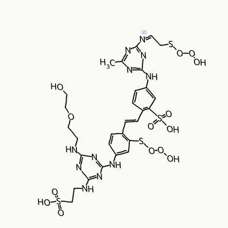 Cc1nc(/N=C\CSOOO)nc(Nc2ccc(C=Cc3ccc(Nc4nc(NCCOCCO)nc(NCCS(=O)(=O)O)n4)cc3SOOO)c(S(=O)(=O)O)c2)n1